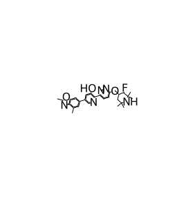 Cc1nc2c(C)cc(-c3cnc(-c4ccc(O[C@@H]5CC(C)(C)NC(C)(C)[C@@H]5F)nn4)c(O)c3)cc2o1